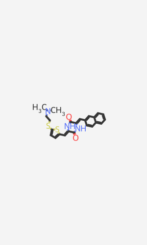 CN(C)CCSc1ccc(/C=c2\[nH]c(=O)/c(=C/c3ccc4ccccc4c3)[nH]c2=O)s1